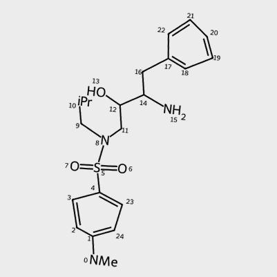 CNc1ccc(S(=O)(=O)N(CC(C)C)CC(O)C(N)Cc2ccccc2)cc1